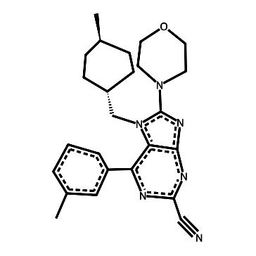 Cc1cccc(-c2nc(C#N)nc3nc(N4CCOCC4)n(C[C@H]4CC[C@H](C)CC4)c23)c1